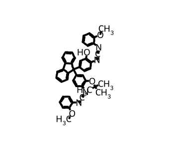 COc1ccccc1N=C=Nc1ccc(C2(c3ccc(N=C=Nc4ccccc4OC)c(OC(C)(C)C)c3)c3ccccc3-c3ccccc32)cc1O